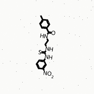 Cc1ccc(C(=O)NCCNC(=S)Nc2cccc([N+](=O)[O-])c2)cc1